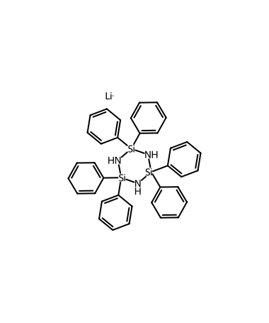 [Li].c1ccc([Si]2(c3ccccc3)N[Si](c3ccccc3)(c3ccccc3)N[Si](c3ccccc3)(c3ccccc3)N2)cc1